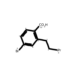 CC(C)CCc1cc(Br)ccc1C(=O)O